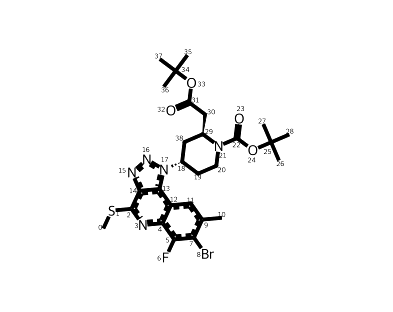 CSc1nc2c(F)c(Br)c(C)cc2c2c1nnn2[C@H]1CCN(C(=O)OC(C)(C)C)[C@H](CC(=O)OC(C)(C)C)C1